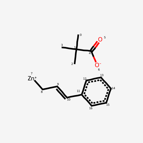 CC(C)(C)C(=O)[O-].[Zn+][CH2]/C=C/c1ccccc1